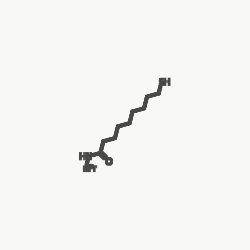 CCCNC(=O)CCCCCCCCS